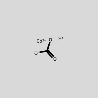 O=C([O-])[O-].[Co+2].[H+]